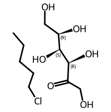 CCCCCCl.O=C(CO)[C@H](O)[C@@H](O)[C@H](O)CO